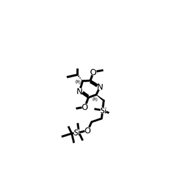 COC1=N[C@H](C(C)C)C(OC)=N[C@H]1C[Si](C)(C)CCO[Si](C)(C)C(C)(C)C